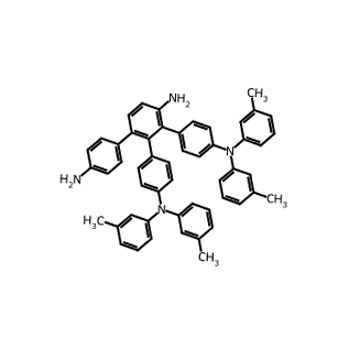 Cc1cccc(N(c2ccc(-c3c(N)ccc(-c4ccc(N)cc4)c3-c3ccc(N(c4cccc(C)c4)c4cccc(C)c4)cc3)cc2)c2cccc(C)c2)c1